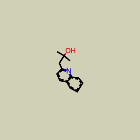 CC(C)(O)Cc1ccc2ccccc2n1